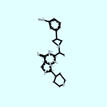 COc1cccc(C2CN(C(C)c3nn4c(C5CCOCC5)ncc4c(=O)[nH]3)C2)c1